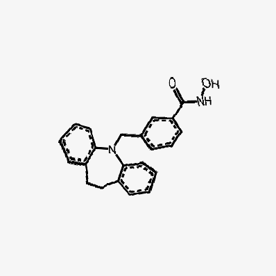 O=C(NO)c1cccc(CN2c3ccccc3CCc3ccccc32)c1